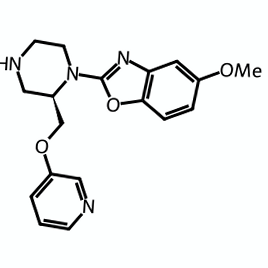 COc1ccc2oc(N3CCNC[C@@H]3COc3cccnc3)nc2c1